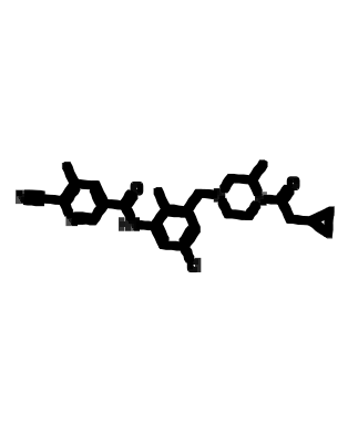 Cc1cc(C(=O)Nc2cc(Cl)cc(CN3CCN(C(=O)CC4CC4)C(C)C3)c2C)cnc1C#N